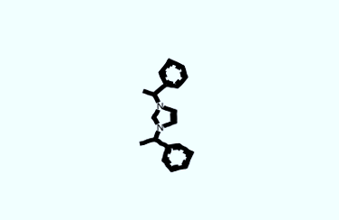 CC(c1ccccc1)N1C=CN(C(C)c2ccccc2)C1